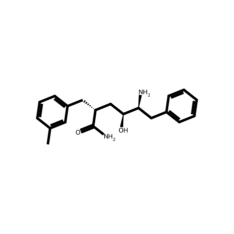 Cc1cccc(C[C@H](C[C@H](O)[C@@H](N)Cc2ccccc2)C(N)=O)c1